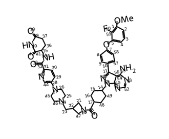 COc1cccc(Oc2ccc(-c3nn(C4CCC(C(=O)N5CC(CN6CCN(c7ccc(C(=O)NC8CCC(=O)NC8=O)nc7)CC6)C5)CC4)c4ncnc(N)c34)cc2)c1F